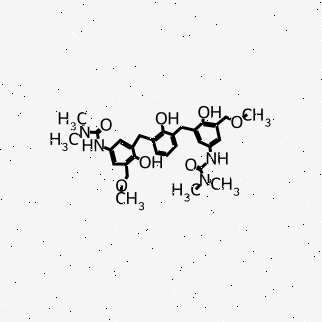 COCc1cc(NC(=O)N(C)C)cc(Cc2cccc(Cc3cc(NC(=O)N(C)C)cc(COC)c3O)c2O)c1O